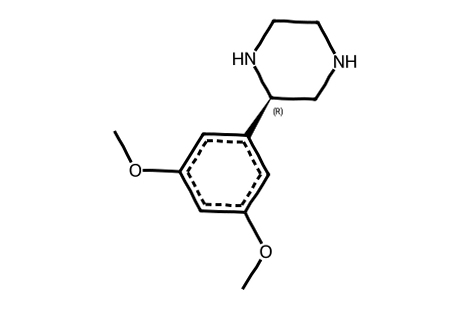 COc1cc(OC)cc([C@@H]2CNCCN2)c1